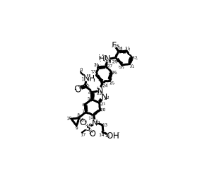 CNC(=O)c1c2cc(C3CC3)c(N(CCO)S(C)(=O)=O)cc2nn1-c1ccc(Nc2ccccc2F)cc1